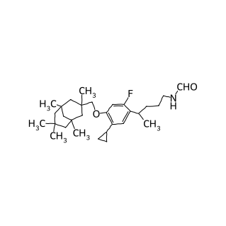 CC(CCCNC=O)c1cc(C2CC2)c(OCC2(C)CC3(C)CC(C)(C)CC(C)(C2)C3)cc1F